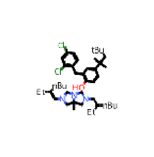 CC(C)(C)CC(C)(C)c1ccc(O)c(Cc2ccc(Cl)cc2Cl)c1.CCCCC(CC)CN1CN2CN(CC(CC)CCCC)CC2(C)C1